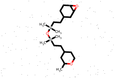 CC1CC(CC[Si](C)(C)O[Si](C)(C)CCC2CCC3OC3C2)CCO1